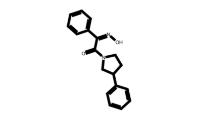 O=C(C(=NO)c1ccccc1)N1CCC(c2ccccc2)C1